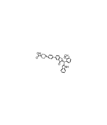 COc1ccccc1C(c1cc2ccccc2[nH]1)N1Cc2ccc(-c3ccc(N4CCN(C(=O)O)CC4)cc3)cc2C1=O